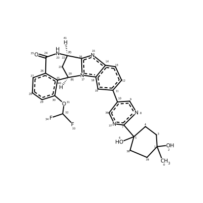 CC1(O)CCC(O)(c2ncc(-c3ccc4nc5n(c4c3)[C@@H]3C[C@H]5NC(=O)c4cccc(OC(F)F)c43)cn2)CC1